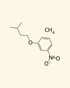 C.CC(C)CCOc1cccc([N+](=O)[O-])c1